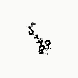 Cc1c(-c2cc(O[C@H](C)c3ccccn3)c3c(C#N)cnn3c2)cnn1C1CN([C@@H]2CCN(C(=O)OC(C)(C)C)C2)C1